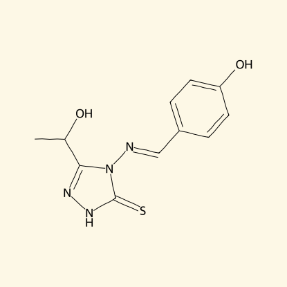 CC(O)c1n[nH]c(=S)n1N=Cc1ccc(O)cc1